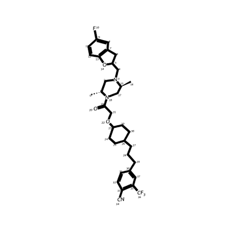 C[C@@H]1CN(CC2Cc3cc(F)ccc3O2)[C@@H](C)CN1C(=O)COC1CCC(CCCc2ccc(C#N)c(C(F)(F)F)c2)CC1